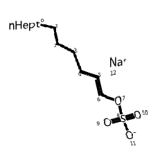 CCCCCCCCCCC/C=C/OS(=O)(=O)[O-].[Na+]